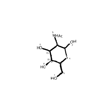 CC(=O)NC1C(O)SC(CO)[C@@H](O)C1O